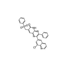 O=c1[nH]c2nc(-c3ccccc3)c(-c3cc(Cl)c4ncccc4c3)nc2cc1CS(=O)(=O)c1ccccc1